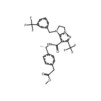 COC(=O)Cc1ccc([C@H](C)NC(=O)c2c(C(F)(F)F)nn3c2N(Cc2cccc(C(F)(F)F)c2)CC3)cc1